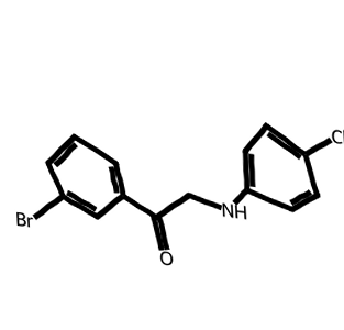 O=C(CNc1ccc(Cl)cc1)c1cccc(Br)c1